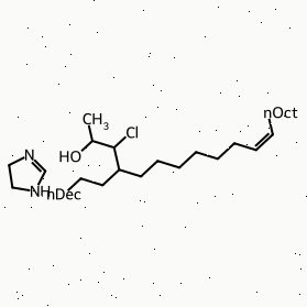 C1=NCCN1.CCCCCCCC/C=C\CCCCCCC(CCCCCCCCCCCC)C(Cl)C(C)O